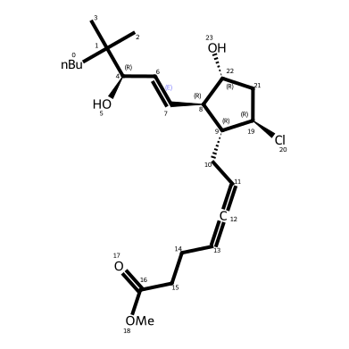 CCCCC(C)(C)[C@H](O)/C=C/[C@@H]1[C@@H](CC=C=CCCC(=O)OC)[C@H](Cl)C[C@H]1O